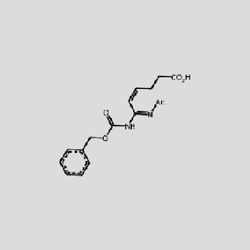 CC(=O)/N=C(\C=C/CCC(=O)O)NC(=O)OCc1ccccc1